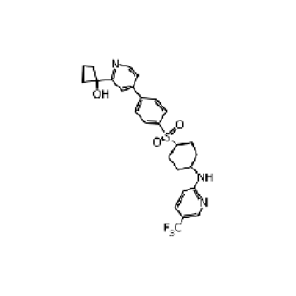 O=S(=O)(c1ccc(-c2ccnc(C3(O)CCC3)c2)cc1)[C@H]1CC[C@H](Nc2ccc(C(F)(F)F)cn2)CC1